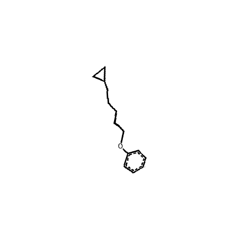 [c]1ccc(OCCCCCC2CC2)cc1